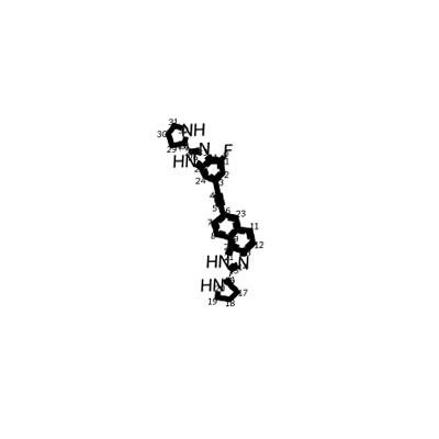 Fc1cc(C#Cc2ccc3c(ccc4nc([C@@H]5CCCN5)[nH]c43)c2)cc2[nH]c([C@@H]3CCCN3)nc12